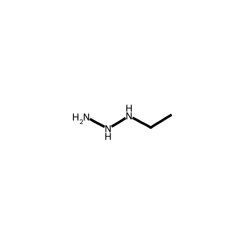 CCNNN